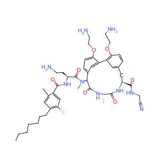 CCCCCCCc1cc(C)c(C(=O)N[C@@H](CCN)C(=O)N(C)[C@@H]2C(=O)N[C@@H](C)C(=O)N[C@H](C(=O)NCC#N)Cc3ccc(OCCN)c(c3)-c3cc2ccc3OCCN)cc1F